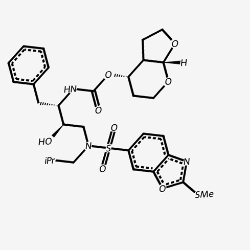 CSc1nc2ccc(S(=O)(=O)N(CC(C)C)C[C@@H](O)[C@H](Cc3ccccc3)NC(=O)O[C@H]3CCO[C@H]4OCCC43)cc2o1